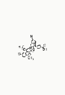 COc1cn([C@@H](Cc2cccc(C#N)c2)C(=O)Nc2ccc(C(=O)O)cc2)c(=O)cc1-c1cc(Cl)ccc1C(C)=O